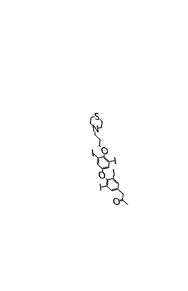 CC(=O)Cc1cc(I)c(Oc2cc(I)c(OCCCN3CCSCC3)c(I)c2)c(I)c1